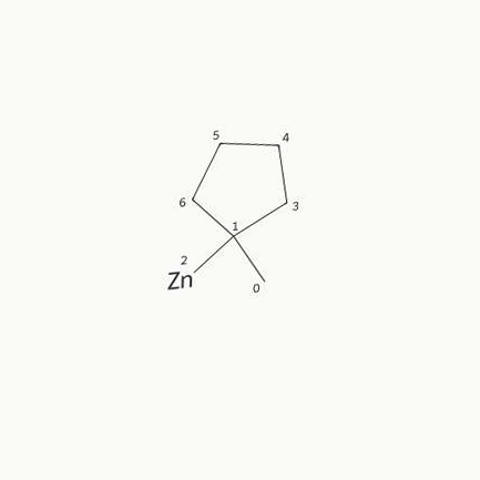 C[C]1([Zn])CCCC1